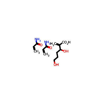 C=C(C(=O)O)C(O)CCCO.C=CC(N)=O.C=CC(N)=O